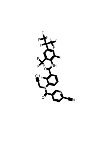 C#CCN(C(=O)c1ccc(C#N)nc1)c1cccc(C(=O)Nc2c(I)cc(C(F)(C(F)(F)F)C(F)(F)F)cc2C(F)(F)F)c1F